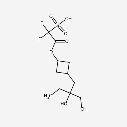 CCC(O)(CC)CC1CC(OC(=O)C(F)(F)S(=O)(=O)O)C1